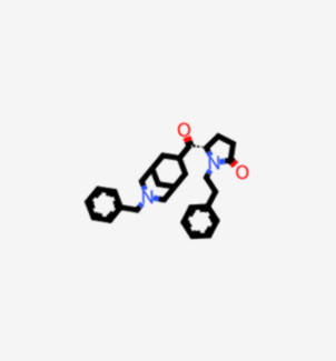 O=C(C1CC2CC(C1)CN(Cc1ccccc1)C2)[C@@H]1CCC(=O)N1CCc1ccccc1